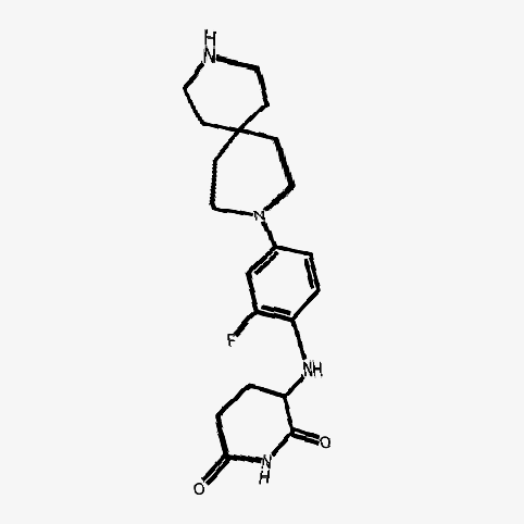 O=C1CCC(Nc2ccc(N3CCC4(CCNCC4)CC3)cc2F)C(=O)N1